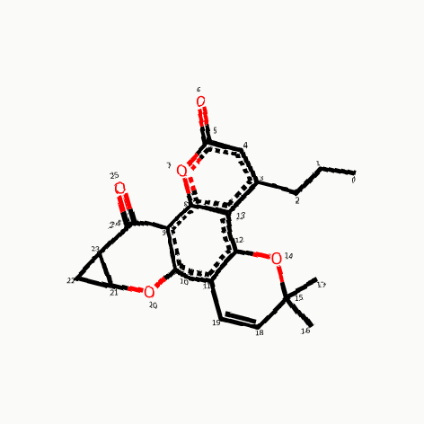 CCCc1cc(=O)oc2c3c(c4c(c12)OC(C)(C)C=C4)OC1CC1C3=O